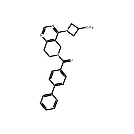 COC1CN(c2ncnc3c2CN(C(=O)c2ccc(-c4ccccc4)cc2)CC3)C1